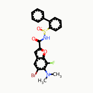 CN(C)c1c(Br)cc2cc(C(=O)N[S+]([O-])c3ccccc3-c3ccccc3)oc2c1F